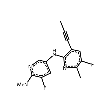 CC#Cc1cc(F)c(C)nc1Nc1cnc(NC)c(F)c1